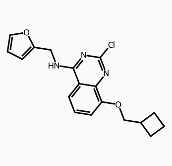 Clc1nc(NCc2ccco2)c2cccc(OCC3CCC3)c2n1